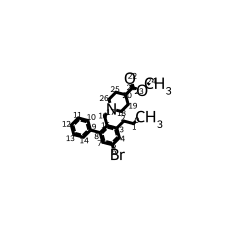 CCCc1cc(Br)cc(-c2ccccc2)c1CN1CCC(C(=O)OC)CC1